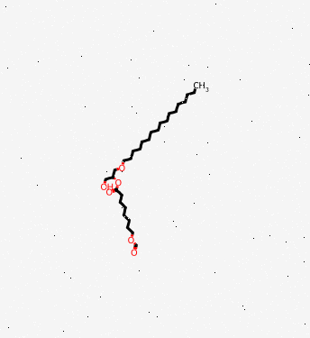 CCCCCCCCCCCCCCCCCOCC(CO)OC(=O)CCCCCCCOC=O